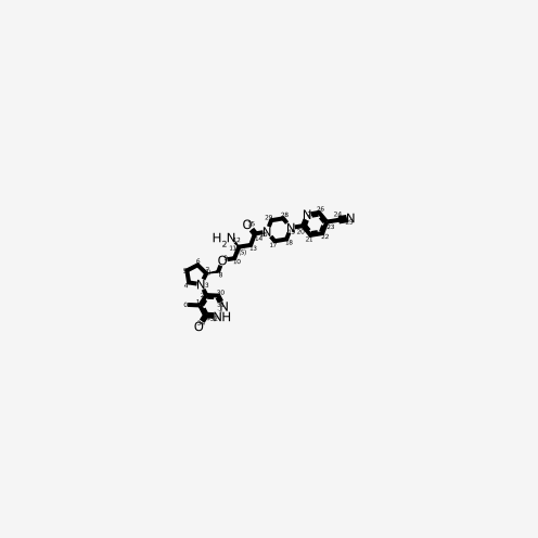 Cc1c(N2CCC[C@H]2COC[C@@H](N)CC(=O)N2CCN(c3ccc(C#N)cn3)CC2)cn[nH]c1=O